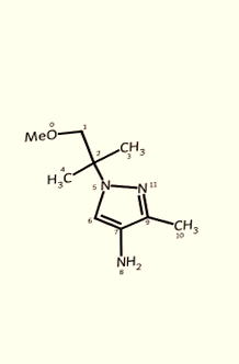 COCC(C)(C)n1cc(N)c(C)n1